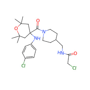 CC1(C)CC(Nc2ccc(Cl)cc2)(C(=O)N2CCC(CNC(=O)CCl)CC2)CC(C)(C)O1